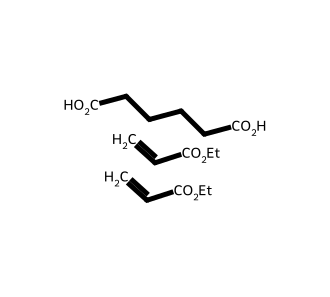 C=CC(=O)OCC.C=CC(=O)OCC.O=C(O)CCCCC(=O)O